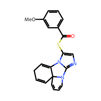 COc1cccc(C(=O)Sc2cnc3n2C2=CCC=CC24C=CC=CN34)c1